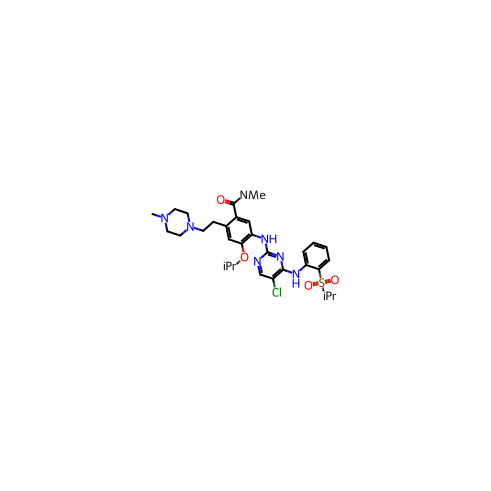 CNC(=O)c1cc(Nc2ncc(Cl)c(Nc3ccccc3S(=O)(=O)C(C)C)n2)c(OC(C)C)cc1CCN1CCN(C)CC1